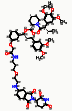 CC[C@H](C(=O)N1CCCC[C@H]1C(=O)O[C@H](CCc1ccc(OC)c(OC)c1)c1cccc(OCC(=O)NCCCOCCNc2ccc3c(c2)C(=O)N(C2CCC(=O)NC2=O)C3=O)c1)c1cc(OC)c(OC)c(OC)c1